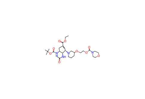 CCOC(=O)C1=C[C@@H](N2CCC[C@H](OCCOC(=O)N3CCOCC3)C2)[C@@H](NC(C)=O)[C@@H](NC(=O)OC(C)(C)C)C1